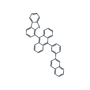 c1cc(-c2ccc3ccccc3c2)cc(-c2c3ccccc3c(-c3cccc4c3sc3ccccc34)c3ccccc23)c1